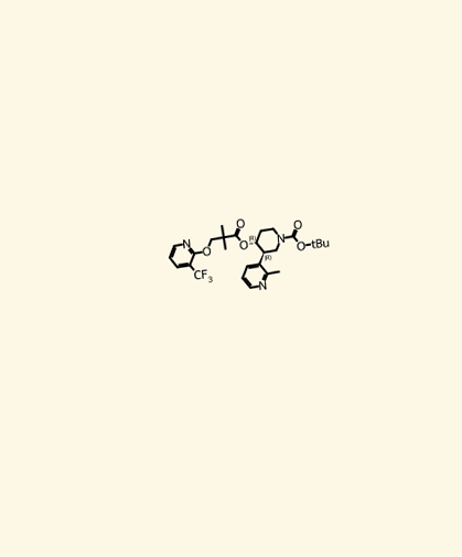 Cc1ncccc1[C@@H]1CN(C(=O)OC(C)(C)C)CC[C@H]1OC(=O)C(C)(C)COc1ncccc1C(F)(F)F